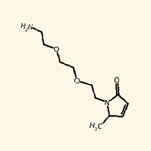 CC1C=CC(=O)N1CCOCCOCCN